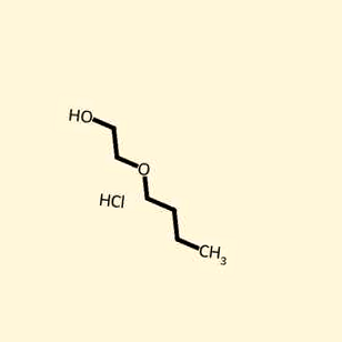 CCCCOCCO.Cl